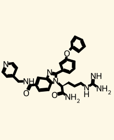 N=C(N)NCCC[C@@H](C(N)=O)n1c(-c2cccc(Oc3ccccc3)c2)nc2cc(C(=O)NCc3ccncc3)ccc21